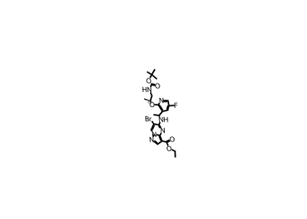 CCOC(=O)c1cnn2cc(Br)c(NC(C)c3cc(F)cnc3O[C@@H](C)CNC(=O)OC(C)(C)C)nc12